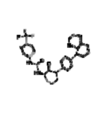 O=C(Nc1ccc(C(F)(F)F)nc1)N[C@@H]1CCCN(c2ccc(-c3cccc4cccnc34)cc2)C1=O